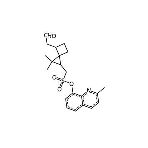 Cc1ccc2cccc(OS(=O)(=O)CC3C(C)(C)C34CCC4CC=O)c2n1